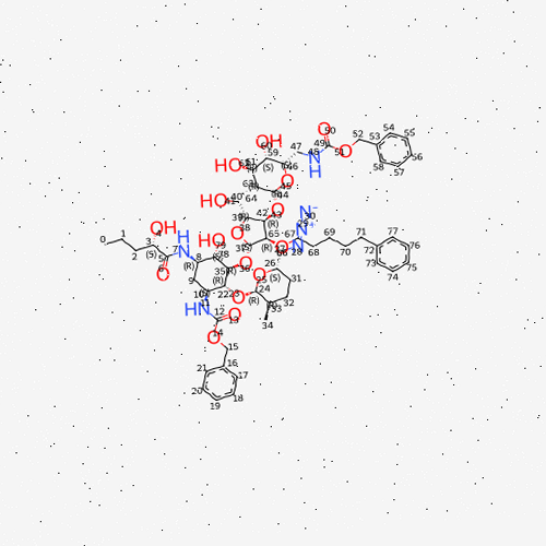 CCC[C@H](O)C(=O)N[C@@H]1C[C@H](NC(=O)OCc2ccccc2)[C@@H](O[C@H]2O[C@H](CN=[N+]=[N-])CC[C@H]2C)[C@H](O[C@@H]2O[C@H](CO)[C@@H](O[C@H]3O[C@@H](CNC(=O)OCc4ccccc4)[C@@H](O)[C@H](O)[C@H]3C)[C@H]2OCCCCCc2ccccc2)[C@H]1O